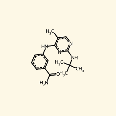 Cc1cnc(NC(C)(C)C)nc1Nc1cccc(C(N)=O)c1